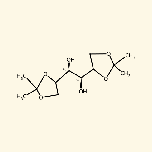 CC1(C)OCC([C@@H](O)[C@H](O)C2COC(C)(C)O2)O1